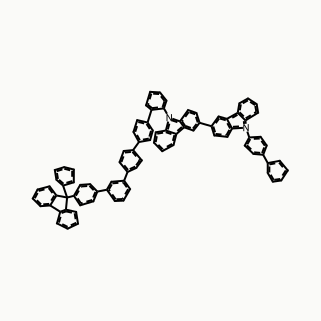 c1ccc(-c2ccc(-n3c4ccccc4c4cc(-c5ccc6c(c5)c5ccccc5n6-c5ccccc5-c5ccc(-c6ccc(-c7cccc(-c8ccc(C9(c%10ccccc%10)c%10ccccc%10-c%10ccccc%109)cc8)c7)cc6)cc5)ccc43)cc2)cc1